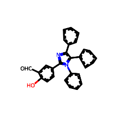 O=Cc1cc(-c2nc(-c3ccccc3)c(-c3ccccc3)n2-c2ccccc2)ccc1O